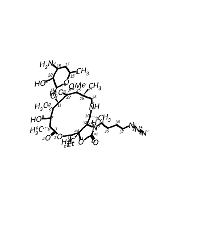 CC[C@H]1OC(=O)[C@H](C)C(O)[C@H](C)[C@@H](O[C@@H]2OC(C)CC(N)C2O)[C@](C)(OC)C[C@@H](C)CN[C@H](C)[C@H]2N(CCCCN=[N+]=[N-])C(=O)O[C@]12C